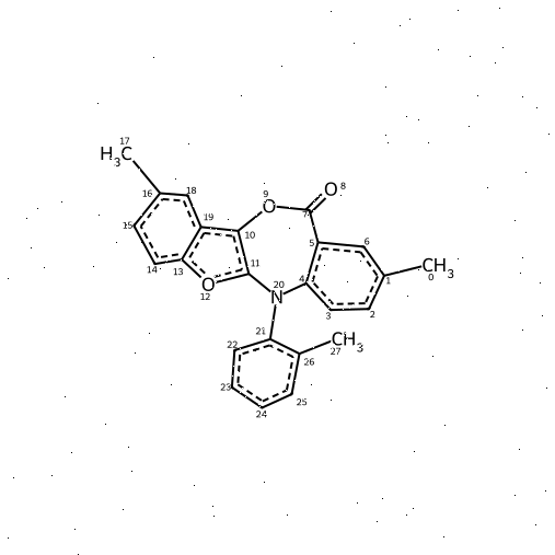 Cc1ccc2c(c1)C(=O)Oc1c(oc3ccc(C)cc13)N2c1ccccc1C